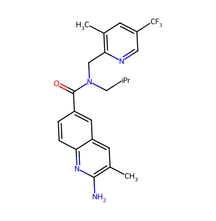 Cc1cc2cc(C(=O)N(Cc3ncc(C(F)(F)F)cc3C)CC(C)C)ccc2nc1N